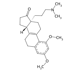 COc1cc2c(c(OC)c1)C1=C(CC2)[C@@H]2CCC(=O)[C@@]2(CCCN(C)C)CC1